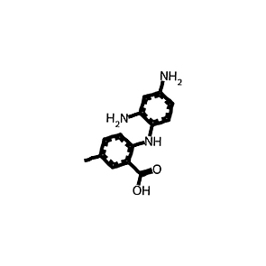 Cc1ccc(Nc2ccc(N)cc2N)c(C(=O)O)c1